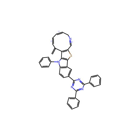 C=C1/C=C\C=C/C/N=C\c2sc3c4cc(-c5nc(-c6ccccc6)nc(-c6ccccc6)n5)ccc4n(-c4ccccc4)c3c21